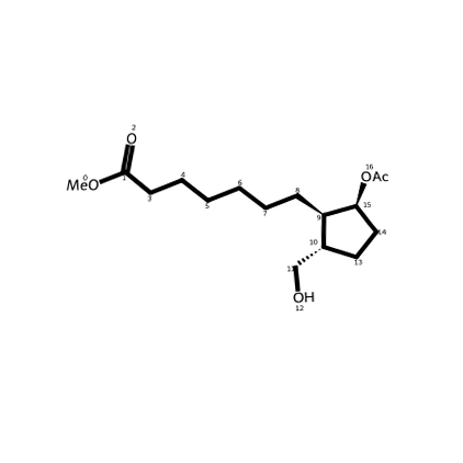 COC(=O)CCCCCC[C@@H]1[C@@H](CO)CC[C@@H]1OC(C)=O